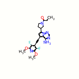 C=CC(=O)N1CCC(c2cc(C#Cc3c(F)c(OC)nc(OC)c3F)c3c(N)ncnn23)C1